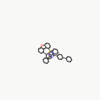 c1ccc(-c2ccc(-c3nc(-c4ccccc4)nc(-c4cccc5oc6cccc(-c7cccc8c7sc7ccccc78)c6c45)n3)cc2)cc1